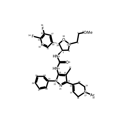 COCCN1C[C@@H](NC(=O)Nc2c(C)c(C3=CCN(C(C)=O)CC3)nn2-c2ccccc2)[C@H](c2cnc(F)c(F)c2)O1